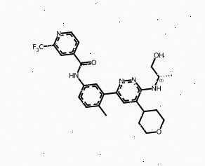 Cc1ccc(NC(=O)c2ccnc(C(F)(F)F)c2)cc1-c1cc(C2CCOCC2)c(N[C@@H](C)CO)nn1